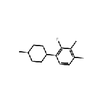 Cc1ccc(C2CCC(C)CC2)c(F)c1C